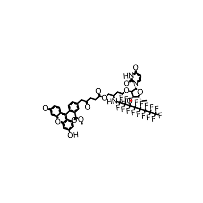 CC[C@H]1O[C@@H](n2ccc(=O)[nH]c2=O)C(OCCC(COC(=O)CCC(=O)Cc2ccc(-c3c4ccc(=O)cc-4oc4cc(O)ccc34)c(C(=O)OC)c2)NC(F)(F)C(F)(F)C(F)(F)C(F)(F)C(F)(F)C(F)(F)C(F)(F)C(F)(F)F)[C@H]1O